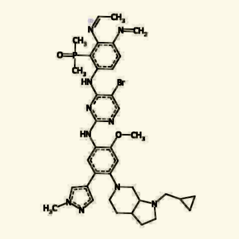 C=Nc1ccc(Nc2nc(Nc3cc(-c4cnn(C)c4)c(N4CCC5CCN(CC6CC6)C5C4)cc3OC)ncc2Br)c(P(C)(C)=O)c1/N=C\C